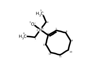 CC[N+]([O-])(CC)/C1=C/CCCCCC1